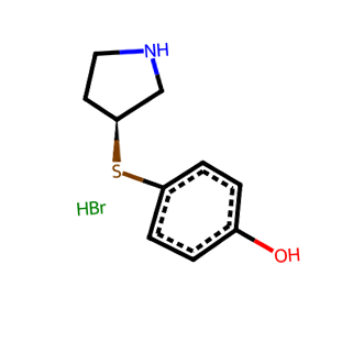 Br.Oc1ccc(S[C@H]2CCNC2)cc1